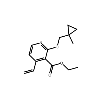 C=Cc1ccnc(OCC2(C)CC2)c1C(=O)OCC